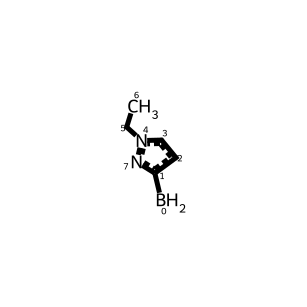 Bc1ccn(CC)n1